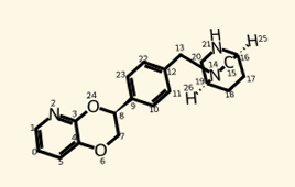 c1cnc2c(c1)OC[C@H](c1ccc(CN3C[C@@H]4CC[C@H]3CN4)cc1)O2